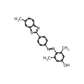 Cc1ccc2nc(-c3ccc(/N=N/c4c(C)cc(O)cc4C)cc3)sc2c1